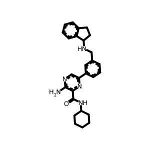 Nc1ncc(-c2cccc(CNC3CCc4ccccc43)c2)nc1C(=O)NC1CCCCC1